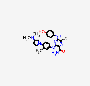 CCc1nc(C(N)=O)c(Nc2ccc(N3CCC(N(C)C)C3)c(C(F)(F)F)c2)nc1NC1CCC(O)CC1